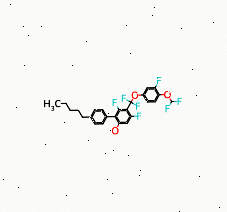 CCCCCc1ccc(-c2c([O])cc(F)c(C(F)(F)Oc3ccc(OC(F)F)c(F)c3)c2F)cc1